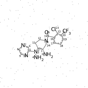 NC1=C(N(N)c2cnccn2)CCN(C(=O)c2cccc(C(F)(F)F)c2Cl)C1